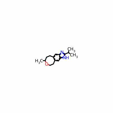 CC1CCc2cc3nc(C(C)C)[nH]c3cc2CCO1